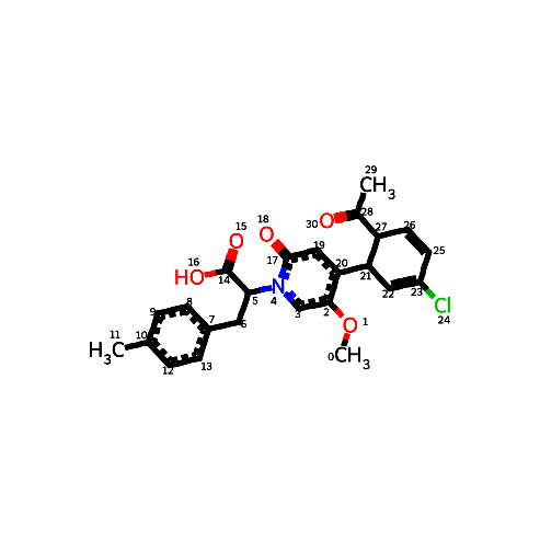 COc1cn(C(Cc2ccc(C)cc2)C(=O)O)c(=O)cc1C1C=C(Cl)C=CC1C(C)=O